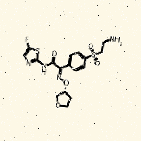 NCCS(=O)(=O)c1ccc(/C(=N\O[C@@H]2CCOC2)C(=O)Nc2ncc(F)s2)cc1